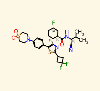 CC(C)[C@@H](C#N)NC(=O)[C@@H]1C[C@@H](F)CC[C@H]1c1nc(C2CC(F)(F)C2)sc1-c1ccc(N2CCS(=O)(=O)CC2)cc1